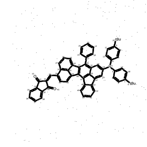 CC(C)(C)c1ccc(N(c2ccc(C(C)(C)C)cc2)c2cc3c(-c4ccccc4)c4c5cccc6c(C=C7C(=O)c8ccccc8C7=O)ccc(c65)c4c4c5ccccc5c(c2)c34)cc1